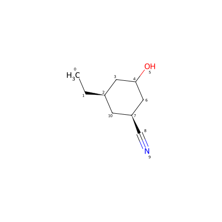 CC[C@H]1CC(O)C[C@@H](C#N)C1